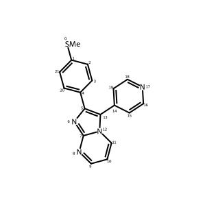 CSc1ccc(-c2nc3ncccn3c2-c2ccncc2)cc1